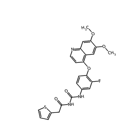 COc1cc2nccc(Oc3ccc(NC(=O)NC(=O)Cc4cccs4)cc3F)c2cc1OC